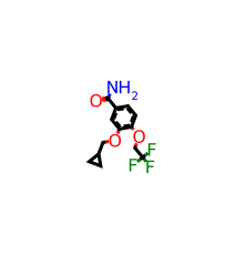 NC(=O)c1ccc(OCC(F)(F)F)c(OCC2CC2)c1